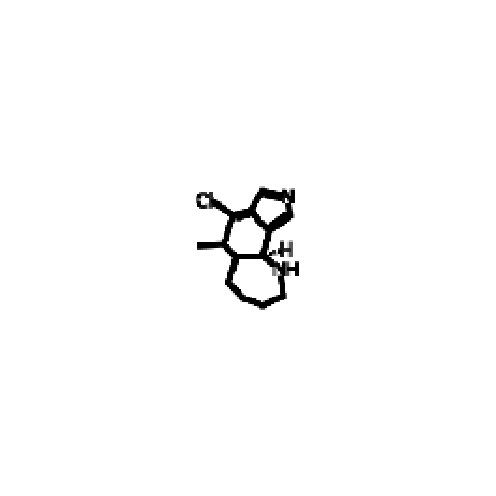 CC1C(Cl)=C2C=NC=C2[C@H]2NCCCCC12